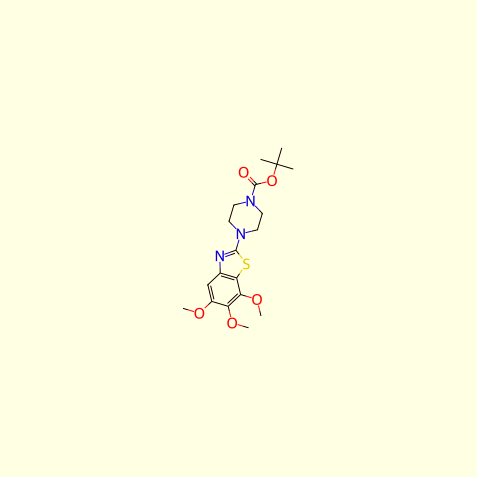 COc1cc2nc(N3CCN(C(=O)OC(C)(C)C)CC3)sc2c(OC)c1OC